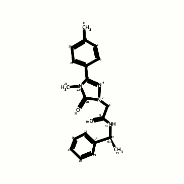 Cc1ccc(-c2nn(CC(=O)N[C@@H](C)c3ccccc3)c(=O)n2C)cc1